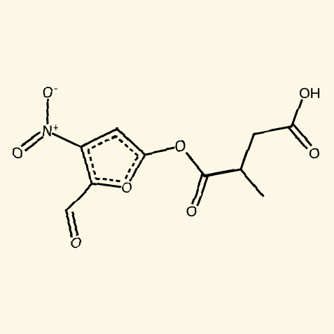 CC(CC(=O)O)C(=O)Oc1cc([N+](=O)[O-])c(C=O)o1